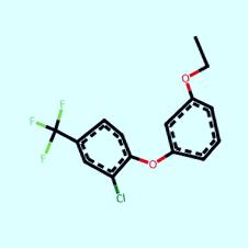 CCOc1cccc(Oc2ccc(C(F)(F)F)cc2Cl)c1